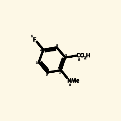 CNc1ccc(F)cc1C(=O)O